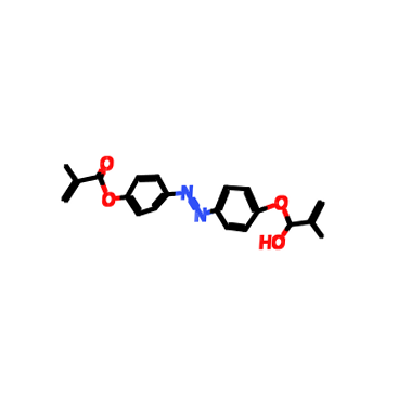 C=C(C)C(=O)Oc1ccc(N=Nc2ccc(OC(O)C(=C)C)cc2)cc1